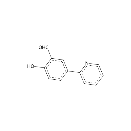 O=Cc1cc(-c2ccccn2)ccc1O